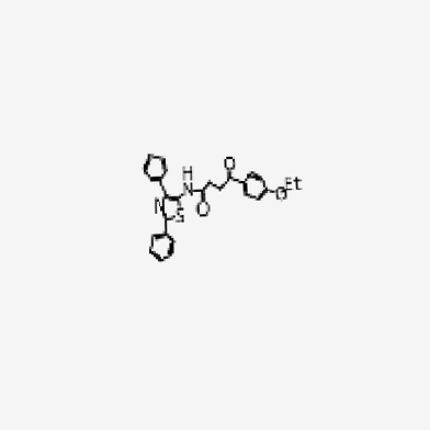 CCOc1ccc(C(=O)CCC(=O)Nc2sc(-c3ccccc3)nc2-c2ccccc2)cc1